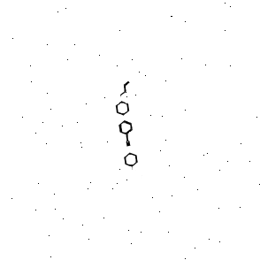 C=CCC[C@H]1CC[C@H](c2ccc(C#C[C@H]3CC[C@H](C(F)(F)F)CC3)cc2)CC1